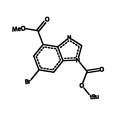 COC(=O)c1cc(Br)cc2c1ncn2C(=O)OC(C)(C)C